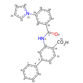 O=C(Nc1cc(-c2ccccc2)ccc1C(=O)O)c1cccc(-n2cccc2)c1